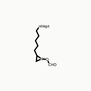 CCCCCCCCCCCCC1CN1OC=O